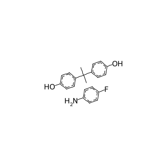 CC(C)(c1ccc(O)cc1)c1ccc(O)cc1.Nc1ccc(F)cc1